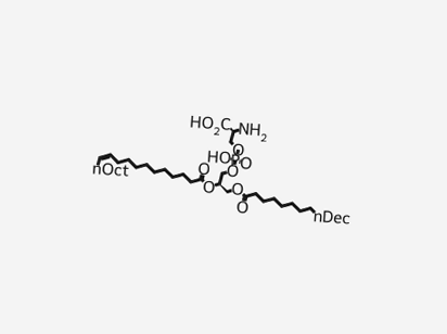 CCCCCCCC/C=C\CCCCCCCCCC(=O)O[C@H](COC(=O)CCCCCCCCCCCCCCCCC)COP(=O)(O)OC[C@H](N)C(=O)O